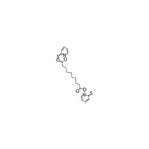 O=C(CCCCCCCCC(=O)On1ccccc1=S)On1ccccc1=S